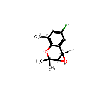 CC1(C)Oc2c(cc(F)cc2[N+](=O)[O-])[C@@H]2OC21